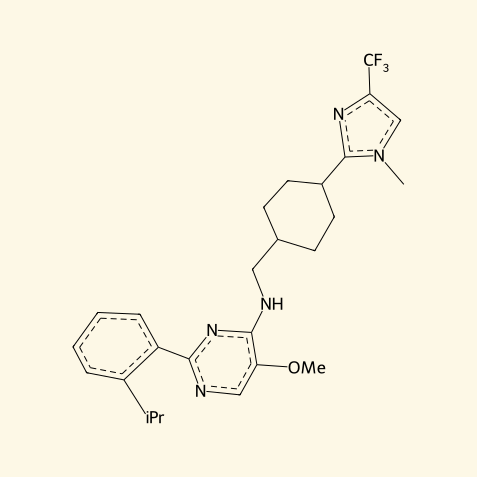 COc1cnc(-c2ccccc2C(C)C)nc1NCC1CCC(c2nc(C(F)(F)F)cn2C)CC1